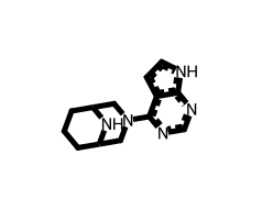 c1nc(N2CC3CCCC(C2)N3)c2cc[nH]c2n1